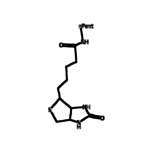 CCCCCNC(=O)CCCCC1SCC2NC(=O)NC21